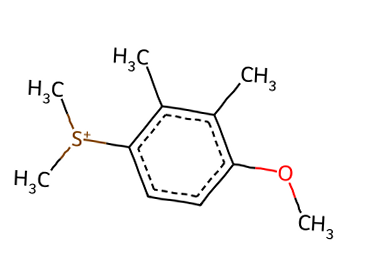 COc1ccc([S+](C)C)c(C)c1C